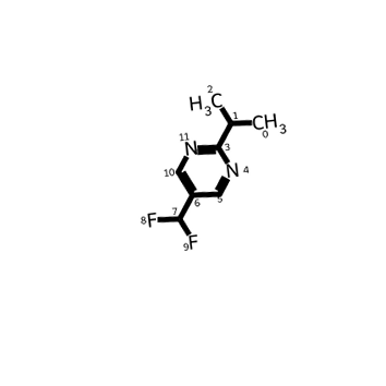 CC(C)c1ncc(C(F)F)cn1